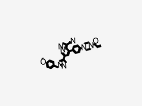 C=CC(=O)N1CCN(c2ccc(-c3cc(-c4cnn(Cc5ccc(OC)cc5)c4)cn4ncc(C#N)c34)cc2)CC1